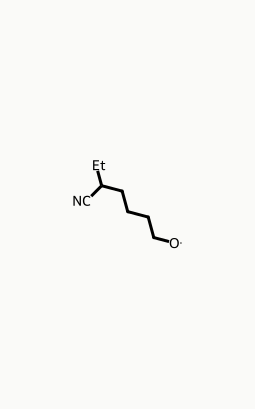 CCC(C#N)CCCC[O]